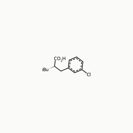 CC[C@@H](C)C(Cc1cccc(Cl)c1)C(=O)O